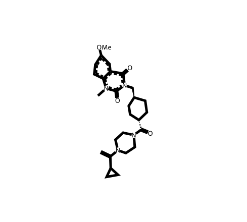 C=C(C1CC1)N1CCN(C(=O)[C@H]2CC[C@H](Cn3c(=O)c4cc(OC)ccc4n(C)c3=O)CC2)CC1